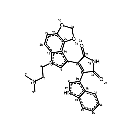 CN(C)CCn1cc(C2=C(c3c[nH]c4ccccc34)C(=O)NC2=O)c2c3c(ccc21)OCO3